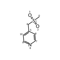 CS(=O)(=O)Cc1ccncc1